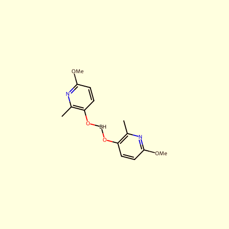 COc1ccc(OBOc2ccc(OC)nc2C)c(C)n1